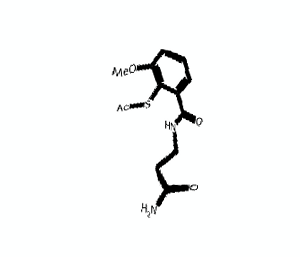 COc1cccc(C(=O)NCCC(N)=O)c1SC(C)=O